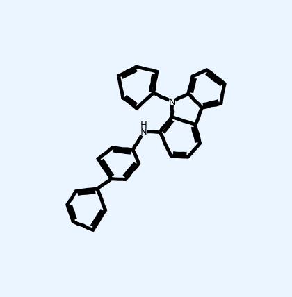 c1ccc(-c2ccc(Nc3cccc4c5ccccc5n(-c5ccccc5)c34)cc2)cc1